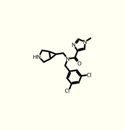 Cn1cnc(C(=O)N(Cc2cc(Cl)cc(Cl)c2)CC2C3CNCC32)c1